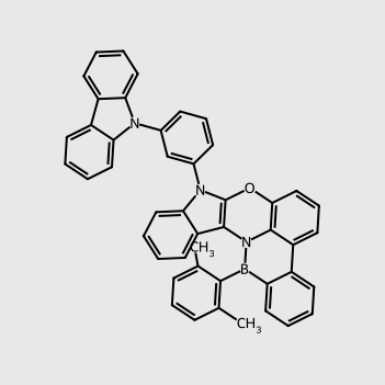 Cc1cccc(C)c1B1c2ccccc2-c2cccc3c2N1c1c(n(-c2cccc(-n4c5ccccc5c5ccccc54)c2)c2ccccc12)O3